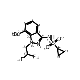 CC(C)(C)c1cccc2c(NS(=O)(=O)C3CC3)nn(CC(F)F)c12